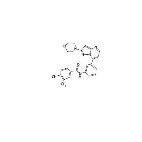 O=C(Nc1cccc(-c2ccnc3cc(N4CCOCC4)nn23)c1)c1ccc(Cl)c(C(F)(F)F)c1